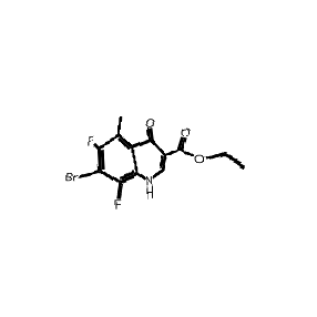 CCOC(=O)c1c[nH]c2c(F)c(Br)c(F)c(C)c2c1=O